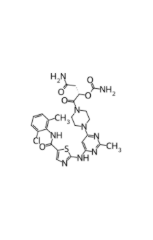 Cc1nc(Nc2ncc(C(=O)Nc3c(C)cccc3Cl)s2)cc(N2CCN(C(=O)[C@H](CC(N)=O)OC(N)=O)CC2)n1